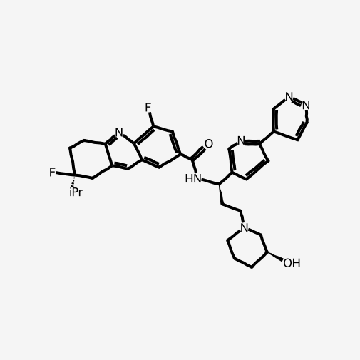 CC(C)[C@]1(F)CCc2nc3c(F)cc(C(=O)N[C@H](CCN4CCC[C@H](O)C4)c4ccc(-c5ccnnc5)nc4)cc3cc2C1